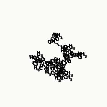 CC[C@H](C)[C@@H]([C@@H](CC(=O)N1CCC[C@H]1[C@H](OC)[C@@H](C)C(=O)N[C@H](C)[C@@H](O)c1ccccc1)OC)N(C)C(=O)[C@@H](NC(=O)[C@H](C(C)C)N(C)C(=O)OCc1ccc(NC(=O)[C@H](CCCNC(N)=O)NC(=O)[C@@H](NC(=O)CCCCCN2C(=O)CC(CN)C2=O)C(C)C)cc1)C(C)C